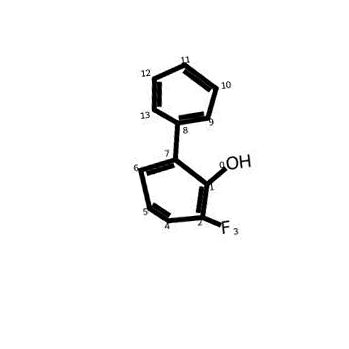 Oc1c(F)cccc1-c1ccccc1